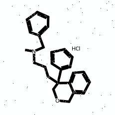 CN(CCCC1(c2ccccc2)COCc2ccccc21)Cc1ccccc1.Cl